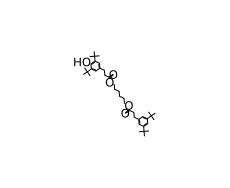 CC(C)(C)c1cc(CCC(=O)OCCCCCCOC(=O)CCc2cc(C(C)(C)C)c(O)c(C(C)(C)C)c2)cc(C(C)(C)C)c1